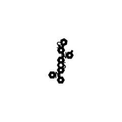 Cc1cccc(N(c2ccc3c(c2)Sc2ccc(N(c4ccccc4)c4ccccc4)cc2C3)c2ccc3sc4ccccc4c3c2)c1